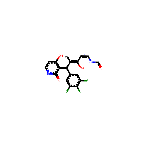 C/C(=C(O)\C=C/NC=O)C(c1cc(F)c(F)c(F)c1)c1c(O)cc[nH]c1=O